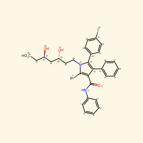 CC(C)c1c(C(=O)Nc2ccccc2)c(-c2ccccc2)c(-c2ccc(F)cc2)n1CC[C@@H](O)C[C@H](O)CC(=O)O